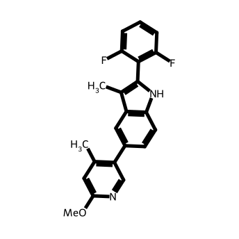 COc1cc(C)c(-c2ccc3[nH]c(-c4c(F)cccc4F)c(C)c3c2)cn1